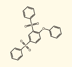 O=S(=O)(c1ccccc1)c1ccc(Oc2ccccc2)c(S(=O)(=O)c2ccccc2)c1